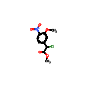 COC(=O)C(Cl)c1ccc([N+](=O)[O-])c(OC)c1